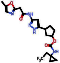 Cc1cnc(CC(=O)Nc2cc(C3CCC(OC(=O)NC4(CC(F)(F)F)CC4)C3)[nH]n2)o1